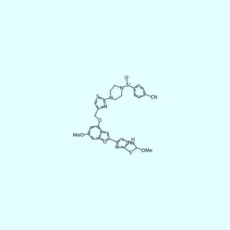 COc1cc(OCc2csc(N3CCN([S+]([O-])c4ccc(C#N)cc4)CC3)n2)c2cc(-c3cn4c(n3)SC(OC)N4)oc2c1